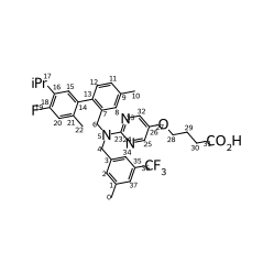 Cc1cc(CN(Cc2cc(C)ccc2-c2cc(C(C)C)c(F)cc2C)c2ncc(OCCCC(=O)O)cn2)cc(C(F)(F)F)c1